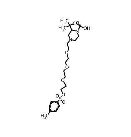 Cc1ccc(S(=O)(=O)OCCOCCOCCOCCN2CCN(C(=O)O)C(C(C)(C)C)C2)cc1